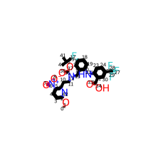 COc1ccc([N+](=O)[O-])c(CCN(Cc2cc(F)ccc2Nc2ccc(C(F)(F)F)cc2C(=O)O)C(=O)OC(C)(C)C)n1